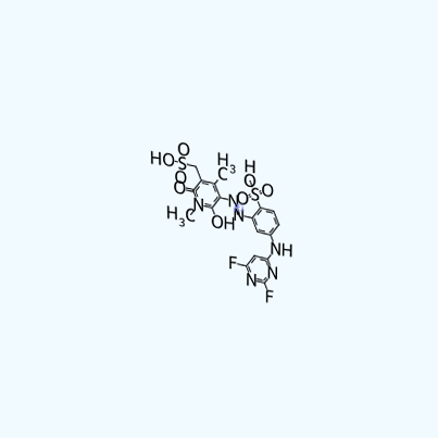 Cc1c(/N=N/c2cc(Nc3cc(F)nc(F)n3)ccc2S(=O)(=O)O)c(O)n(C)c(=O)c1CS(=O)(=O)O